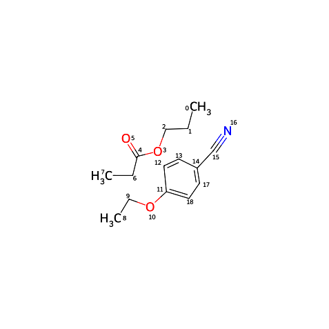 CCCOC(=O)CC.CCOc1ccc(C#N)cc1